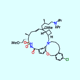 CCCN(CC[C@H](C)C[C@@]1(OC)/C=C/C[C@H](C)[C@@H](CCOC)S(=O)(=O)NC(=O)c2ccc3c(c2)N(CCCCc2cc(Cl)ccc2CO3)C[C@@H]2CC[C@H]21)C(C)C